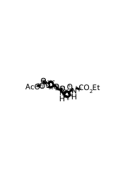 CCOC(=O)CCNC(=O)c1cccc(NC(=O)COC2CCN(C(=O)OCOC(C)=O)CC2)c1